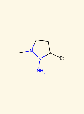 CCC1CCN(C)N1N